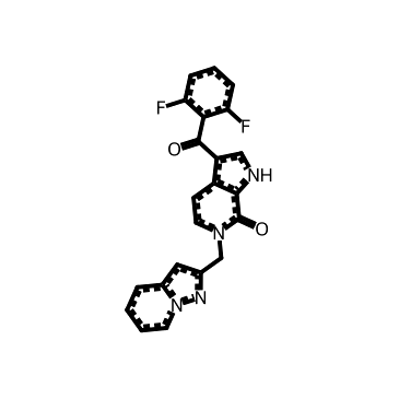 O=C(c1c(F)cccc1F)c1c[nH]c2c(=O)n(Cc3cc4ccccn4n3)ccc12